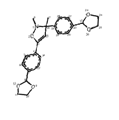 CN1OC(c2ccc(C3OCCO3)cc2)=CC1(C)c1ccc(C2OCCO2)cc1